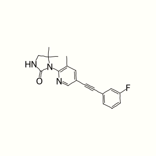 Cc1cc(C#Cc2cccc(F)c2)cnc1N1C(=O)NCC1(C)C